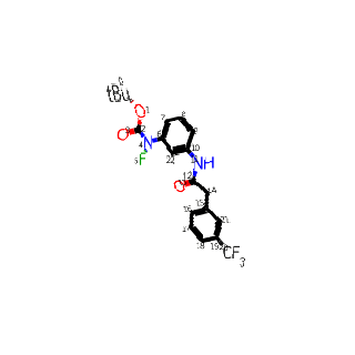 CC(C)(C)OC(=O)N(F)c1cccc(NC(=O)Cc2cccc(C(F)(F)F)c2)c1